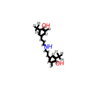 Cc1cc(CCCNCCCc2cc(C)c(O)c(C(C)(C)C)c2)cc(C(C)(C)C)c1O